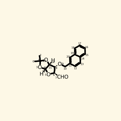 CC1(C)O[C@H]2O[C@H](C=O)[C@@H](OCc3ccc4ccccc4c3)[C@H]2O1